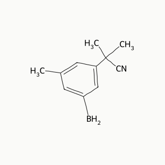 Bc1cc(C)cc(C(C)(C)C#N)c1